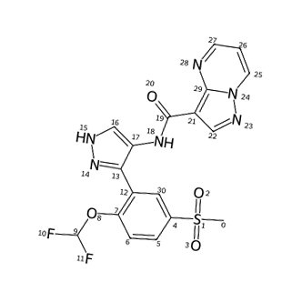 CS(=O)(=O)c1ccc(OC(F)F)c(-c2n[nH]cc2NC(=O)c2cnn3cccnc23)c1